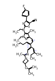 C=C(C)OC1CN(/C(C)=N/C=C(\C=C(\C)CC)C(/C=C\c2nn(CC)c(N(CC)c3nc(-c4ccc(F)cc4)c(C#N)s3)c2C)=C\CCC)C1